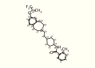 Cc1ncccc1C(=O)NC1CCC(CCN2CCc3ccc(O[C@H](C)C(F)(F)F)nc3CC2)CC1